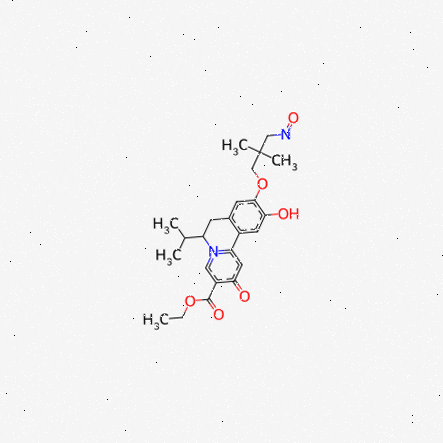 CCOC(=O)c1cn2c(cc1=O)-c1cc(O)c(OCC(C)(C)CN=O)cc1CC2C(C)C